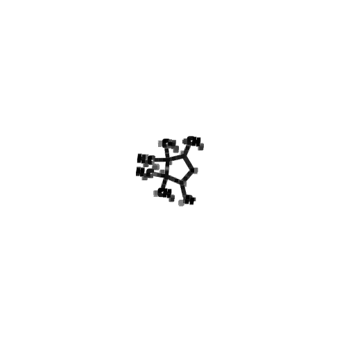 CC(C)C1CC(C)C(C)(C)C1(C)C